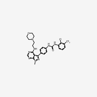 Cn1nc(-c2ccc(NC(=O)Nc3cccc(C(F)(F)F)c3Cl)cc2)c2c(NCCN3CCOCC3)ncnc21